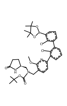 COc1nc(-c2cccc(-c3cccc(B4OC(C)(C)C(C)(C)O4)c3Cl)c2Cl)ccc1CN(C[C@@H]1CCC(=O)N1)C(=O)OC(C)(C)C